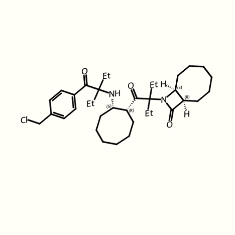 CCC(CC)(N[C@H]1CCCCCC[C@H]1C(=O)C(CC)(CC)N1C(=O)[C@@H]2CCCCCC[C@@H]21)C(=O)c1ccc(CCl)cc1